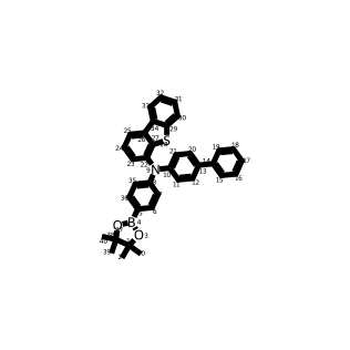 CC1(C)OB(c2ccc(N(c3ccc(-c4ccccc4)cc3)c3cccc4c3sc3ccccc34)cc2)OC1(C)C